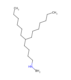 BNCCCCC(CCCCCC)CCCCCCC